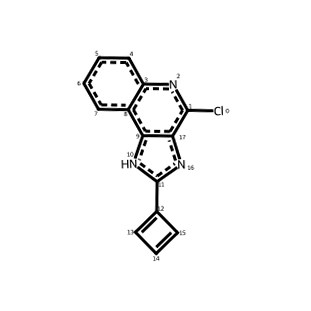 Clc1nc2ccccc2c2[nH]c(C3=CC=C3)nc12